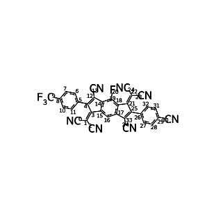 N#CC(C#N)=C1C(c2ccc(C(F)(F)F)cc2)=C(C#N)c2c1cc1c(c2F)C(=C(C#N)C#N)C(c2ccc(C#N)cc2)=C1C#N